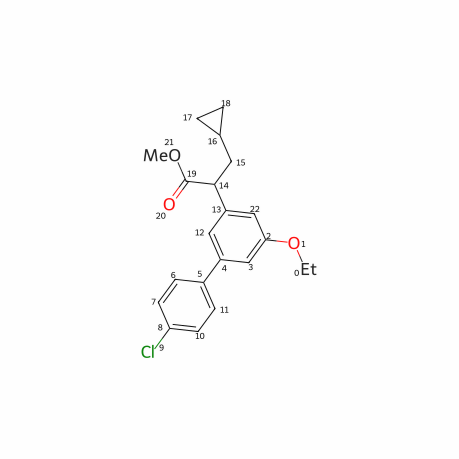 CCOc1cc(-c2ccc(Cl)cc2)cc(C(CC2CC2)C(=O)OC)c1